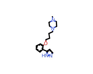 CN1CCN(CCCCOc2ccccc2-c2ccn[nH]2)CC1